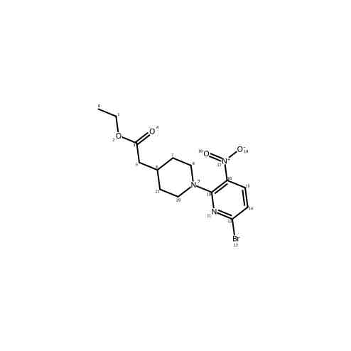 CCOC(=O)CC1CCN(c2nc(Br)ccc2[N+](=O)[O-])CC1